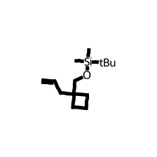 C=CCC1(CO[Si](C)(C)C(C)(C)C)CCC1